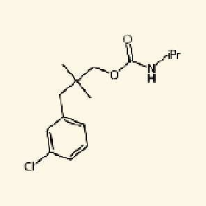 CC(C)NC(=O)OCC(C)(C)Cc1cccc(Cl)c1